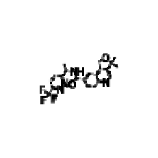 C[C@@H](NC(=O)c1ccc2ncc3c(c2c1)COC3(C)C)c1ccc(C(F)(F)F)nn1